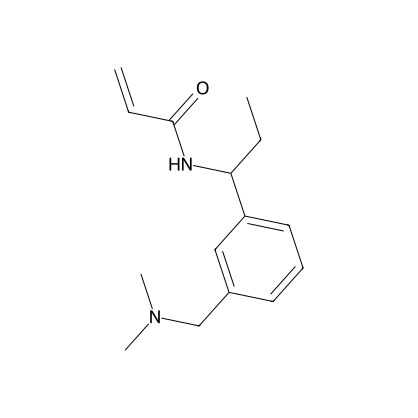 C=CC(=O)NC(CC)c1cccc(CN(C)C)c1